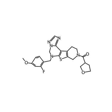 COc1ccc(CN2Cn3ncnc3-c3c2sc2c3CCN(C(=O)C3CCOC3)C2)c(F)c1